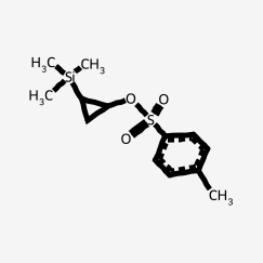 Cc1ccc(S(=O)(=O)OC2CC2[Si](C)(C)C)cc1